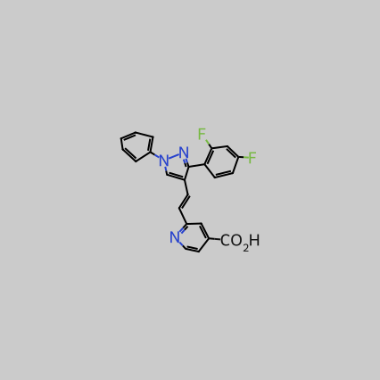 O=C(O)c1ccnc(C=Cc2cn(-c3ccccc3)nc2-c2ccc(F)cc2F)c1